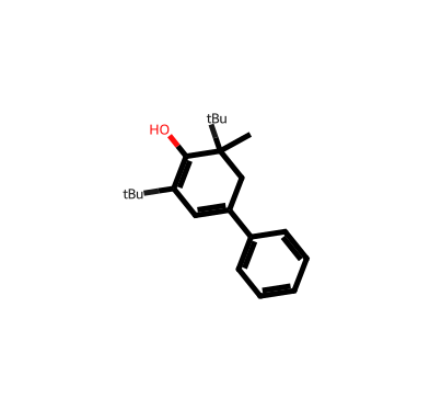 CC(C)(C)C1=C(O)C(C)(C(C)(C)C)CC(c2ccccc2)=C1